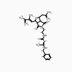 C=C(C)CC1OC(/C=C(\C)C(=C)C)C2C(=O)N(CCNC(=O)/N=C(\N)NCc3ccccc3)C(=O)C12